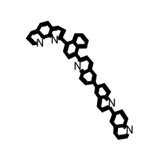 c1cnc2ccc(-c3ccc4cc(-c5ccc6nc(-c7ccc(-c8ccc9ccc%10cccnc%10c9n8)c8ccccc78)ccc6c5)ccc4n3)cc2c1